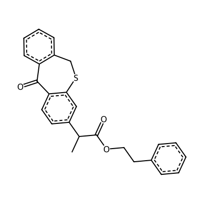 CC(C(=O)OCCc1ccccc1)c1ccc2c(c1)SCc1ccccc1C2=O